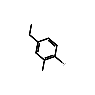 CCc1ccc([S])c(C)c1